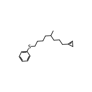 CC(CCCCSc1ccccc1)CCCC1=CC1